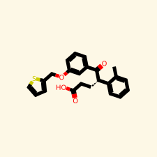 Cc1ccccc1[C@H](CCC(=O)O)C(=O)c1cccc(OCc2cccs2)c1